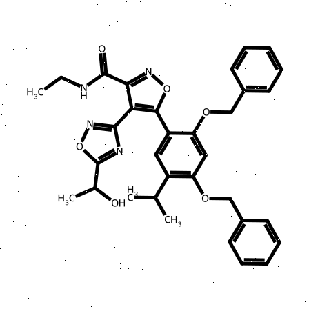 CCNC(=O)c1noc(-c2cc(C(C)C)c(OCc3ccccc3)cc2OCc2ccccc2)c1-c1noc(C(C)O)n1